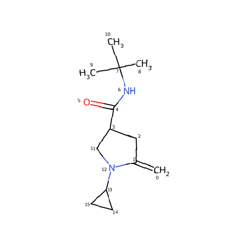 C=C1CC(C(=O)NC(C)(C)C)CN1C1CC1